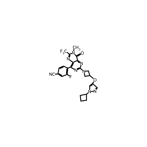 Cn1c(C(F)(F)F)nc2c(-c3ccc(C#N)cc3F)nc(N3CC(Oc4cnn(C5CCC5)c4)C3)nc2c1=O